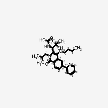 CCCCOc1c(C(NC(=O)O)C(C)(C)C)n(CC(C)C)c(=O)c2ccc(-c3ccccn3)cc12